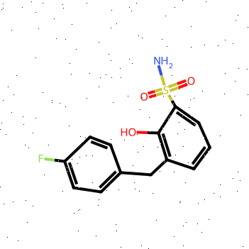 NS(=O)(=O)c1cccc(Cc2ccc(F)cc2)c1O